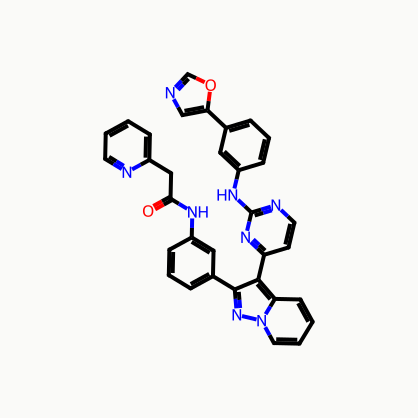 O=C(Cc1ccccn1)Nc1cccc(-c2nn3ccccc3c2-c2ccnc(Nc3cccc(-c4cnco4)c3)n2)c1